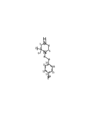 CC1(I)CNCCN1CCc1ccc(F)cc1